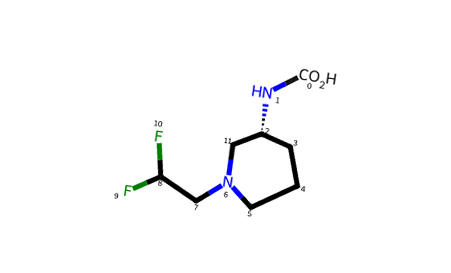 O=C(O)N[C@@H]1CCCN(CC(F)F)C1